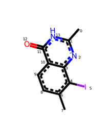 Cc1nc2c(I)c(C)ccc2c(=O)[nH]1